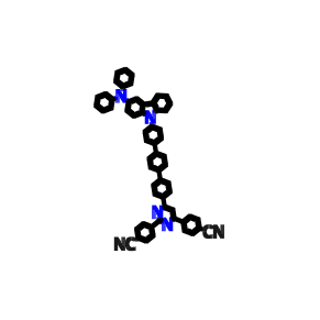 N#Cc1ccc(-c2cc(-c3ccc(-c4ccc(-c5ccc(-n6c7ccccc7c7cc(N(c8ccccc8)c8ccccc8)ccc76)cc5)cc4)cc3)nc(-c3ccc(C#N)cc3)n2)cc1